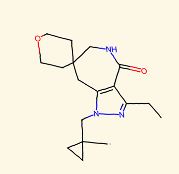 [CH2]C1(Cn2nc(CC)c3c2CC2(CCOCC2)CNC3=O)CC1